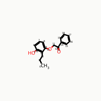 CCCc1c(O)cccc1OCC(=O)c1ccccc1